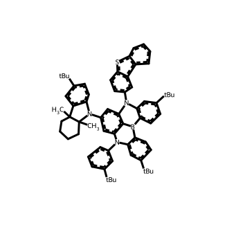 CC(C)(C)c1cccc(N2c3cc(C(C)(C)C)ccc3B3c4ccc(C(C)(C)C)cc4N(c4ccc5sc6ccccc6c5c4)c4cc(N5c6ccc(C(C)(C)C)cc6C6(C)CCCCC56C)cc2c43)c1